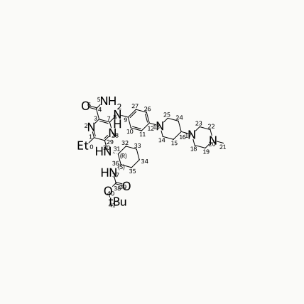 CCc1nc(C(N)=O)c(Nc2ccc(N3CCC(N4CCN(C)CC4)CC3)cc2)nc1N[C@@H]1CCCC[C@@H]1NC(=O)OC(C)(C)C